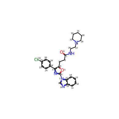 O=C(CCc1oc(-n2cnc3ccccc32)nc1-c1ccc(Cl)cc1)NCCN1CCCCC1